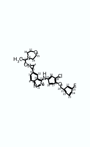 CC(ON1CC1c1ccc2ncnc(Nc3ccc(OCc4cccc(F)c4)c(Cl)c3)c2c1)N1CCOCC1